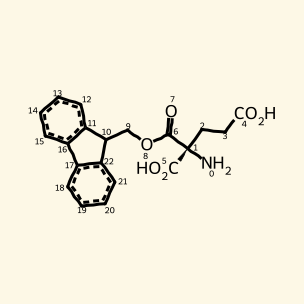 N[C@](CCC(=O)O)(C(=O)O)C(=O)OCC1c2ccccc2-c2ccccc21